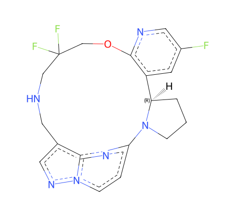 Fc1cnc2c(c1)[C@H]1CCCN1c1ccn3ncc(c3n1)CNCC(F)(F)CO2